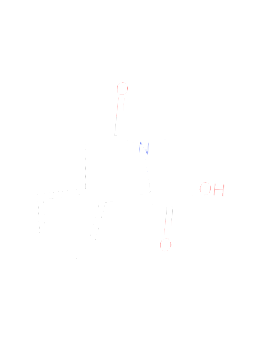 CN1C(=O)Cc2ccccc2[C@H]1C(=O)O